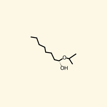 CCCCCCC[C@@H](O)OC(C)C